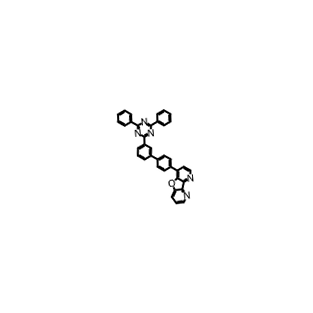 c1ccc(-c2nc(-c3ccccc3)nc(-c3cccc(-c4ccc(-c5ccnc6c5oc5cccnc56)cc4)c3)n2)cc1